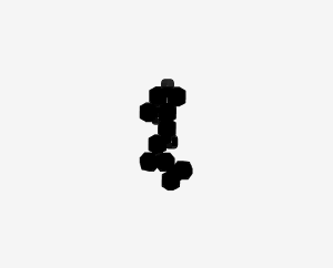 O=C(c1ccccc1)c1cccc(N2c3ccccc3Oc3c(-c4ccc(C(=O)c5cccc(-n6c7ccccc7c7cc(-n8c9ccccc9c9ccccc98)ccc76)c5)cc4)cccc32)c1